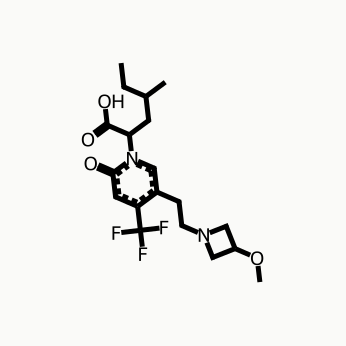 CCC(C)CC(C(=O)O)n1cc(CCN2CC(OC)C2)c(C(F)(F)F)cc1=O